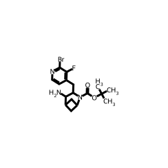 CC(C)(C)OC(=O)N1C2CC(C2)C(N)C1Cc1ccnc(Br)c1F